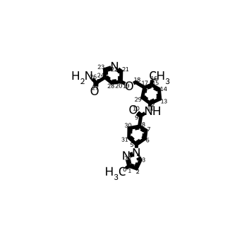 Cc1ccn(-c2ccc(C(=O)Nc3ccc(C)c(COc4cncc(C(N)=O)c4)c3)cc2)n1